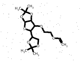 C=COCCOC1C(C2COC(C)(C)O2)OC2OC(C)(C)OC21